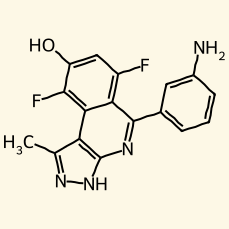 Cc1n[nH]c2nc(-c3cccc(N)c3)c3c(F)cc(O)c(F)c3c12